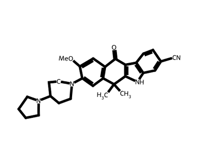 COc1cc2c(cc1N1CCC(N3CCCC3)CC1)C(C)(C)c1[nH]c3cc(C#N)ccc3c1C2=O